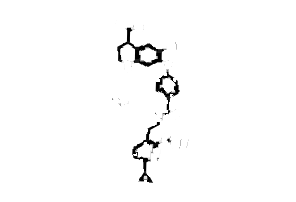 COc1nc(C2CC2)ccc1CCNC(=O)c1ccc(Oc2cc3c(cc2Cl)C(C(=O)[O-])CCO3)cc1.[Na+]